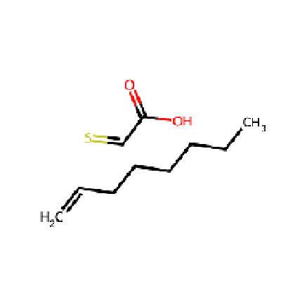 C=CCCCCCC.O=C(O)C=S